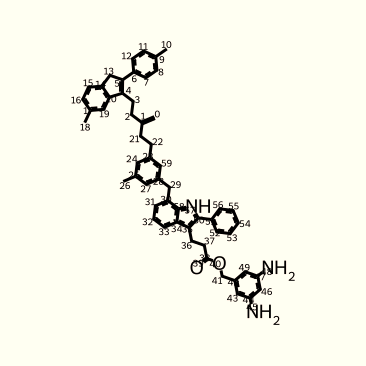 C=C(CCC1=C(c2ccc(C)cc2)Cc2ccc(C)cc21)CCc1cc(C)cc(Cc2cccc3c(CCC(=O)OCc4cc(N)cc(N)c4)c(-c4ccccc4)[nH]c23)c1